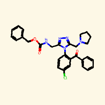 O=C(NCc1nnc(CN2CCCC2)n1-c1ccc(Cl)cc1C(=O)c1ccccc1)OCc1ccccc1